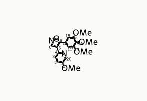 COc1ccc(-c2cnoc2-c2cc(OC)c(OC)c(OC)c2)nc1